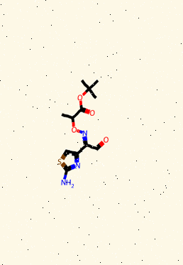 CC(O/N=C(/[C]=O)c1csc(N)n1)C(=O)OC(C)(C)C